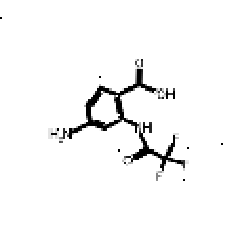 Nc1ccc(C(=O)O)c(NC(=O)C(F)(F)F)c1